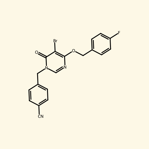 N#Cc1ccc(Cn2cnc(OCc3ccc(F)cc3)c(Br)c2=O)cc1